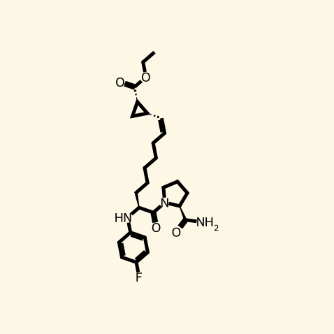 CCOC(=O)[C@H]1C[C@H]1/C=C\CCCCC[C@H](Nc1ccc(F)cc1)C(=O)N1CCC[C@H]1C(N)=O